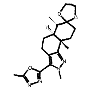 Cc1nnc(-c2c3c(nn2C)[C@@]2(C)CCC4(OCCO4)[C@@H](C)[C@@H]2CC3)o1